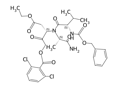 CCOC(=O)C[C@@H](C(=O)COC(=O)c1c(Cl)cccc1Cl)N(C(=O)[C@@H](NC(=O)OCc1ccccc1)C(C)C)[C@@H](C)C(N)=O